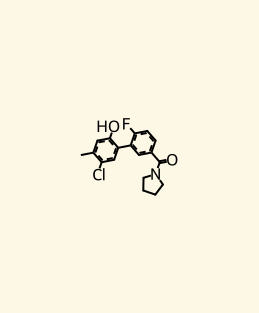 Cc1cc(O)c(-c2cc(C(=O)N3CCCC3)ccc2F)cc1Cl